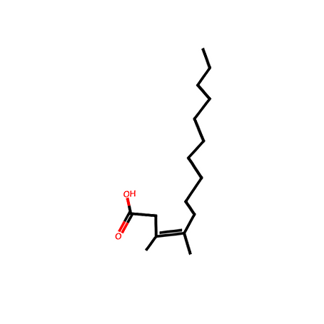 CCCCCCCCCCC(C)=C(C)CC(=O)O